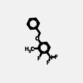 Cc1c(OCc2ccccc2)ccc(N(F)F)c1F